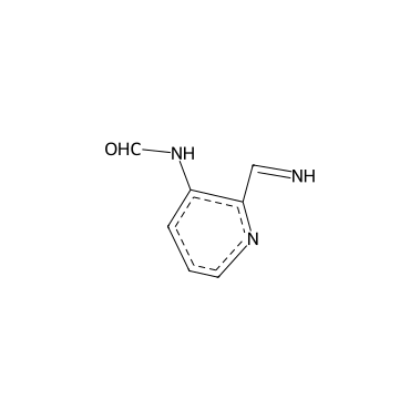 N=Cc1ncccc1NC=O